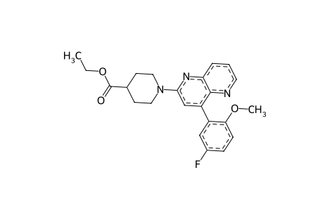 CCOC(=O)C1CCN(c2cc(-c3cc(F)ccc3OC)c3ncccc3n2)CC1